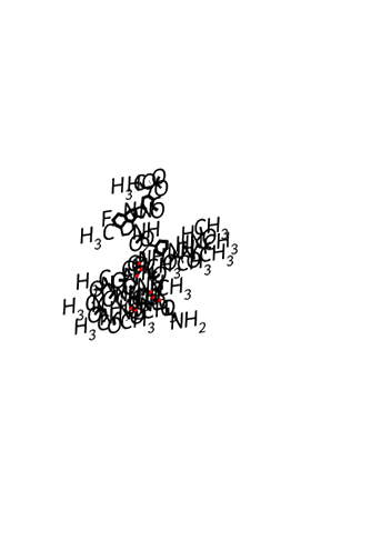 CC[C@@]1(O)C(=O)OCc2c1cc1n(c2=O)Cc2c-1nc1cc(F)c(C)c3c1c2[C@@H](NC(=O)O[C@H](CNC(=O)CCC(NC(=O)COCCOCCN)C(=O)N(C)CC(=O)N(C)CC(=O)N(C)CC(=O)N(C)CC(=O)N(C)CC(=O)N(C)CC(=O)N(C)CC(=O)N(C)CC(=O)N(C)CC(=O)N(C)CC(=O)O)c1ccc(NC(=O)[C@H](C)NC(=O)[C@@H](NC(C)=O)C(C)C)cc1)CC3